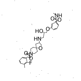 CNS(=O)(=O)c1cccc(OCC(O)CNC2COC3(CCN(S(=O)(=O)c4cccc(C)c4F)CC3)C2)c1